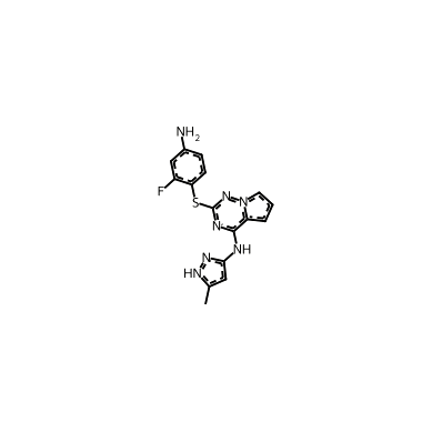 Cc1cc(Nc2nc(Sc3ccc(N)cc3F)nn3cccc23)n[nH]1